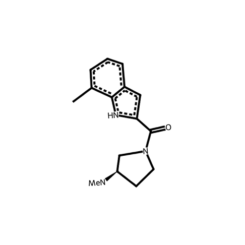 CN[C@@H]1CCN(C(=O)c2cc3cccc(C)c3[nH]2)C1